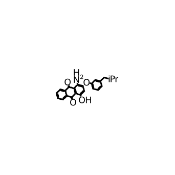 CC(C)Cc1cccc(Oc2cc(O)c3c(c2N)C(=O)c2ccccc2C3=O)c1